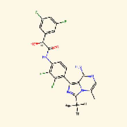 [2H]C([2H])([2H])c1nc(-c2ccc(NC(=O)[C@@H](O)c3cc(F)cc(F)c3)c(F)c2F)c2c(N)ncc(C)n12